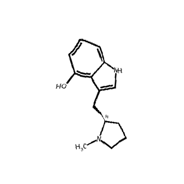 CN1CCC[C@@H]1Cc1c[nH]c2cccc(O)c12